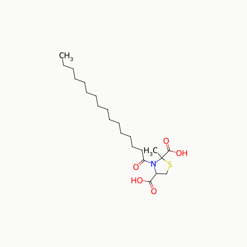 CCCCCCCCCCCCCCCC(=O)N1C(C(=O)O)CSC1(C)C(=O)O